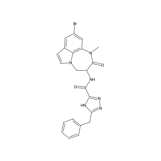 CN1C(=O)C(NC(=O)c2nnc(Cc3ccccc3)[nH]2)Cn2ccc3cc(Br)cc1c32